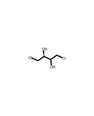 OC(CCl)[C@H](O)CCl